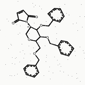 O=C1C=CC(=O)N1[C@@H]1COC(COCc2ccccc2)C(OCc2ccccc2)C1OCc1ccccc1